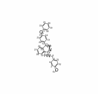 COc1ccc(CNc2nnc(-c3ccc(Oc4ccccc4)cc3)c3ccccc23)cc1